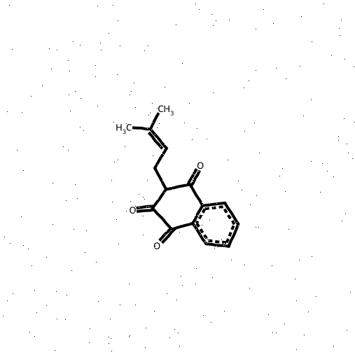 CC(C)=CCC1C(=O)C(=O)c2ccccc2C1=O